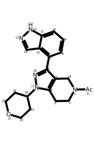 CC(=O)N1CCc2c(c(-c3cccc4[nH]ncc34)nn2C2CCOCC2)C1